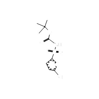 CC(C)(C)OC(=O)NS(=O)(=O)c1ccc(Cl)s1